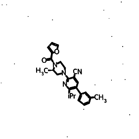 Cc1cccc(-c2cc(C#N)c(N3CCN(C(=O)c4ccco4)[C@H](C)C3)nc2C(C)C)c1